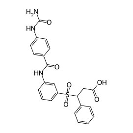 NC(=O)Nc1ccc(C(=O)Nc2cccc(S(=O)(=O)C(CC(=O)O)c3ccccc3)c2)cc1